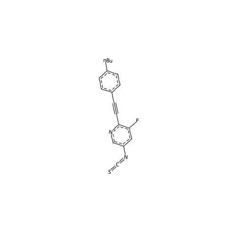 CCCCc1ccc(C#Cc2ncc(N=C=S)cc2F)cc1